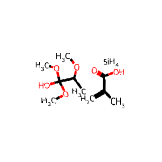 C=C(C)C(=O)O.COC(C)C(O)(OC)OC.[SiH4]